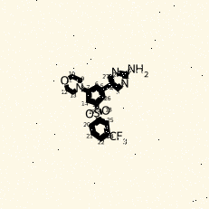 Nc1ncc(-c2cc(N3CCOCC3)cc(S(=O)(=O)c3cccc(C(F)(F)F)c3)c2)cn1